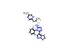 Cc1cnc(CC(C)SNc2nnc(-c3cnn4c3CCC4)n2-c2c(F)cccc2F)cn1